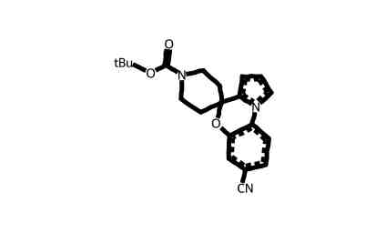 CC(C)(C)OC(=O)N1CCC2(CC1)Oc1cc(C#N)ccc1-n1cccc12